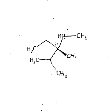 CC[C@](C)(NC)C(C)C